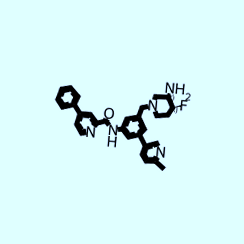 Cc1ccc(-c2cc(CN3CC[C@@H](F)[C@H](N)C3)cc(NC(=O)c3cc(-c4ccccc4)ccn3)c2)cn1